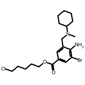 CN(Cc1cc(C(=O)OCCCCCCl)cc(Br)c1N)C1CCCCC1